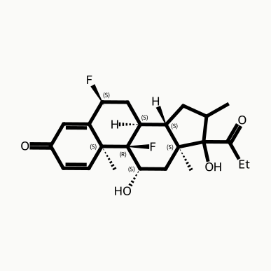 CCC(=O)C1(O)C(C)C[C@H]2[C@@H]3C[C@H](F)C4=CC(=O)C=C[C@]4(C)[C@@]3(F)[C@@H](O)C[C@@]21C